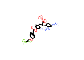 Nc1ccc(C/C(=C\c2ccc(OC(=O)c3ccc(OCC(F)(F)F)cc3)cc2)C(=O)O)c(N)c1